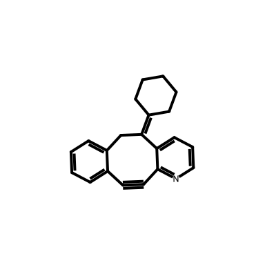 C1#Cc2ncccc2C(=C2CCCCC2)Cc2ccccc21